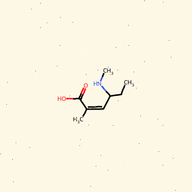 CCC(C=C(C)C(=O)O)NC